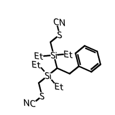 CC[Si](CC)(CSC#N)C(Cc1ccccc1)[Si](CC)(CC)CSC#N